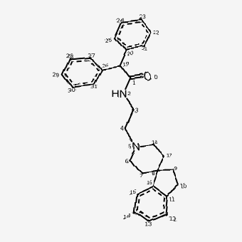 O=C(NCCN1CCC2(CCc3ccccc32)CC1)C(c1ccccc1)c1ccccc1